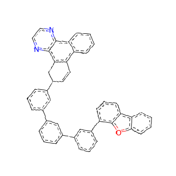 C1=CC(c2cccc(-c3cccc(-c4cccc(-c5cccc6c5oc5ccccc56)c4)c3)c2)Cc2c1c1ccccc1c1nccnc21